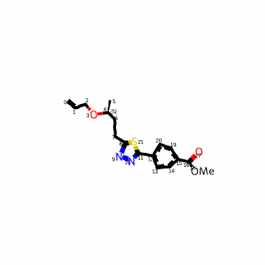 C=CCO[C@@H](C)CCc1nnc(-c2ccc(C(=O)OC)cc2)s1